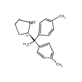 Cc1ccc(C(C)(c2ccc(C)cc2)[C@H]2CCCN2)cc1